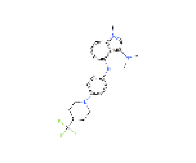 CN(C)c1cn(C)c2cccc(Nc3ccc(N4CCC(C(F)(F)F)CC4)cc3)c12